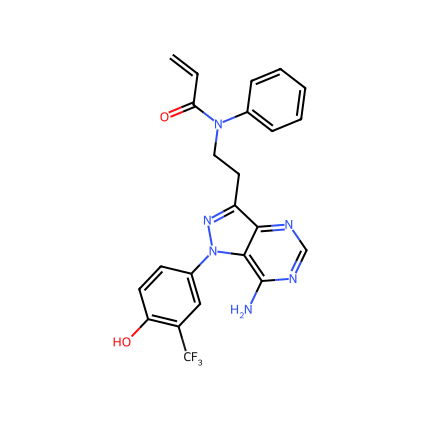 C=CC(=O)N(CCc1nn(-c2ccc(O)c(C(F)(F)F)c2)c2c(N)ncnc12)c1ccccc1